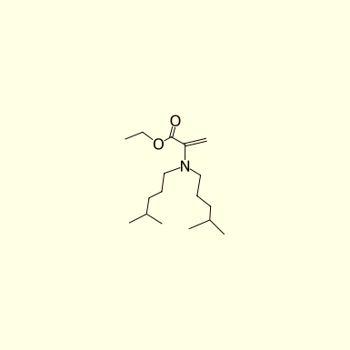 C=C(C(=O)OCC)N(CCCC(C)C)CCCC(C)C